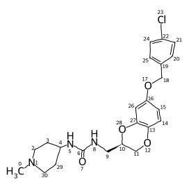 CN1CCC(NC(=O)NC[C@@H]2COc3ccc(OCc4ccc(Cl)cc4)cc3O2)CC1